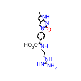 Cc1cc2cn(-c3ccc([C@@H](NCCCNC(=N)N)C(=O)O)cc3)c(=O)nc2[nH]1